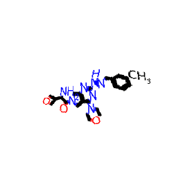 Cc1cccc(/C=N/Nc2nc3c(c(N4CCOCC4)n2)CN(C(=O)[C@H](N)C2COC2)C3)c1